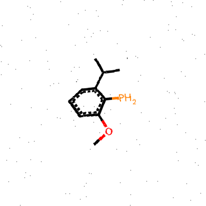 COc1cccc(C(C)C)c1P